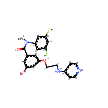 CCCN(C(=O)c1cc(Br)cc(OCCNc2ccncc2)c1)c1cc(F)cc(F)c1